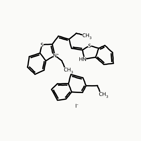 CCC(=Cc1sc2ccccc2[n+]1CC)C=C1Nc2ccccc2S1.CCc1ccc2ccccc2c1.[I-]